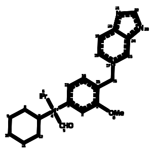 COc1cc([N+](C=O)(C(C)C)C2CCCCC2)ccc1Cn1ccc2ncnc-2c1